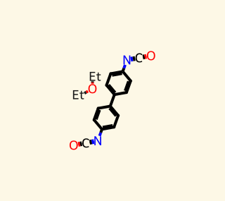 CCOCC.O=C=Nc1ccc(-c2ccc(N=C=O)cc2)cc1